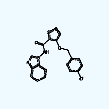 O=C(Nn1cnc2ccccc21)c1sccc1OCc1ccc(Cl)cc1